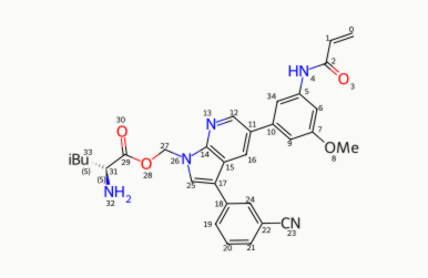 C=CC(=O)Nc1cc(OC)cc(-c2cnc3c(c2)c(-c2cccc(C#N)c2)cn3COC(=O)[C@@H](N)[C@@H](C)CC)c1